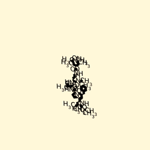 CC(C)CC[C@@H](/C=C/[C@H](Cc1ccccc1)C(=O)N1CCC[C@H]1C(=O)N[C@H](C(=O)N[C@@H](CCCNC(=O)OC1CC(C)(C)N(O)C(C)(C)C1)C(=O)NC(C)C)C(C)C)NC(=O)OC(C)(C)C